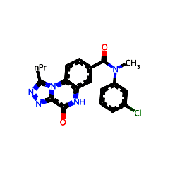 CCCc1nnc2c(=O)[nH]c3cc(C(=O)N(C)c4cccc(Cl)c4)ccc3n12